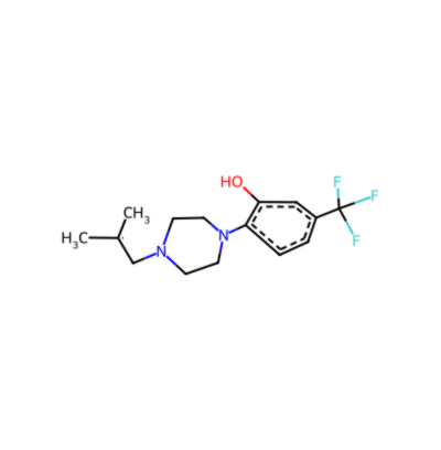 C[C](C)CN1CCN(c2ccc(C(F)(F)F)cc2O)CC1